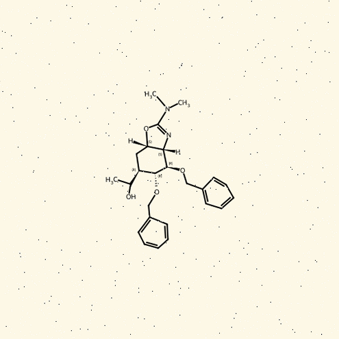 CC(O)[C@H]1C[C@@H]2OC(N(C)C)=N[C@@H]2[C@@H](OCc2ccccc2)[C@@H]1OCc1ccccc1